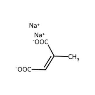 C/C(=C/C(=O)[O-])C(=O)[O-].[Na+].[Na+]